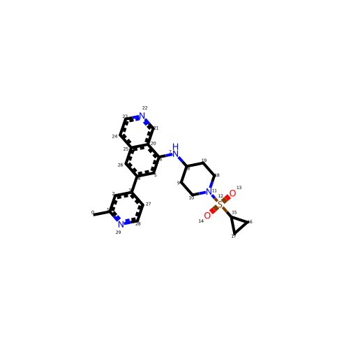 Cc1cc(-c2cc(NC3CCN(S(=O)(=O)C4CC4)CC3)c3cnccc3c2)ccn1